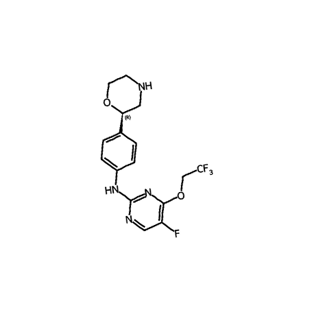 Fc1cnc(Nc2ccc([C@@H]3CNCCO3)cc2)nc1OCC(F)(F)F